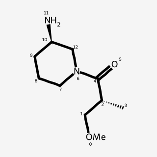 COC[C@@H](C)C(=O)N1CCC[C@@H](N)C1